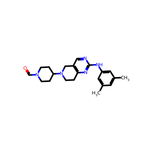 Cc1cc(C)cc(Nc2ncc3c(n2)CCN(C2CCN(C=O)CC2)C3)c1